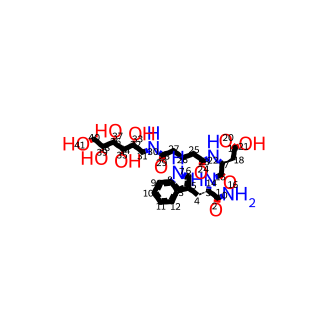 NC(=O)[C@H](Cc1c[nH]c2ccccc12)NC(=O)[C@H](CC(=O)O)NC(=O)CCCC(=O)NC[C@H](O)[C@@H](O)[C@H](O)[C@H](O)CO